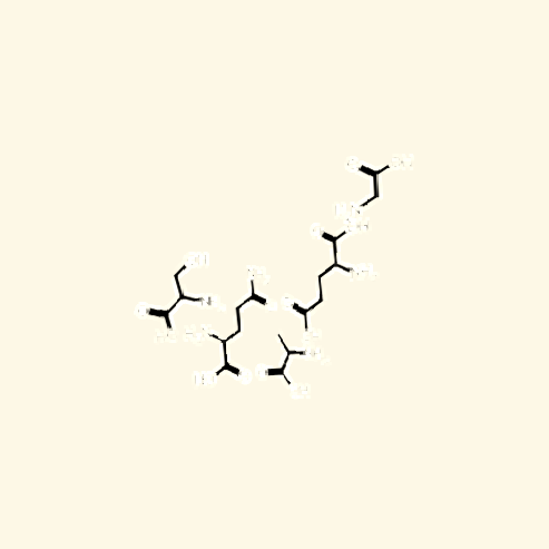 CC(N)C(=O)O.NC(=O)CCC(N)C(=O)O.NC(CCC(=O)O)C(=O)O.NC(CO)C(=O)O.NCC(=O)O